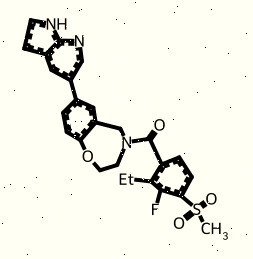 CCc1c(C(=O)N2CCOc3ccc(-c4cnc5[nH]ccc5c4)cc3C2)ccc(S(C)(=O)=O)c1F